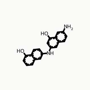 Nc1ccc2cc(Nc3ccc4c(O)cccc4c3)cc(O)c2c1